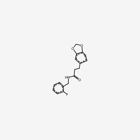 O=C(CCc1ccc2c(c1)OCO2)NCc1ccccc1F